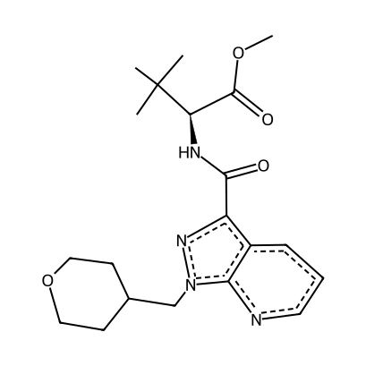 COC(=O)[C@@H](NC(=O)c1nn(CC2CCOCC2)c2ncccc12)C(C)(C)C